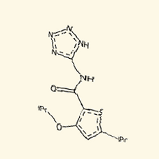 CC(C)Oc1cc(C(C)C)sc1C(=O)Nc1nnn[nH]1